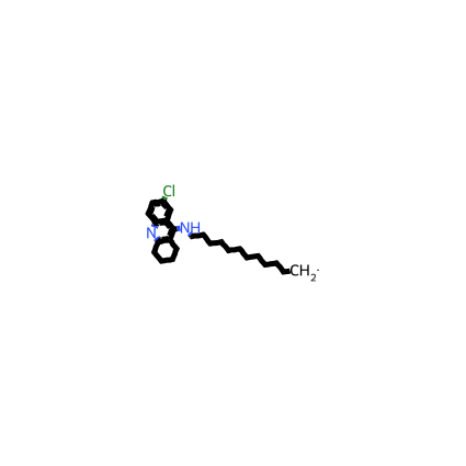 [CH2]CCCCCCCCCCCNc1c2c(nc3ccc(Cl)cc13)CCCC2